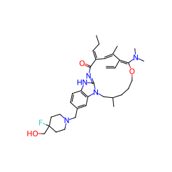 C=CC1=C(\N(C)C)OCCCC(C)CN2/C(=N/C(=O)C(=C/CC)/C=C/1C)Nc1ccc(CN3CCC(F)(CO)CC3)cc12